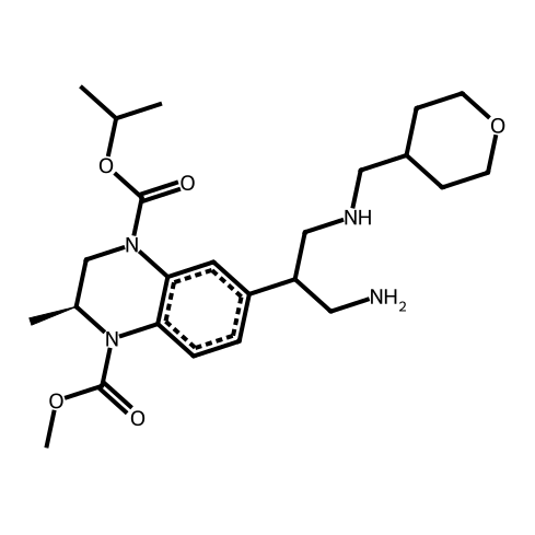 COC(=O)N1c2ccc(C(CN)CNCC3CCOCC3)cc2N(C(=O)OC(C)C)C[C@@H]1C